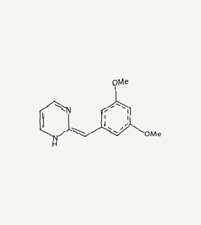 COc1cc(C=C2N=CC=CN2)cc(OC)c1